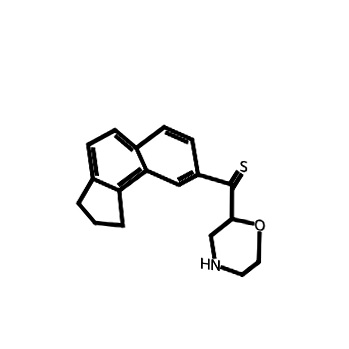 S=C(c1ccc2ccc3c(c2c1)CCC3)C1CNCCO1